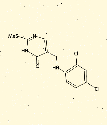 CSc1ncc(CNc2ccc(Cl)cc2Cl)c(=O)[nH]1